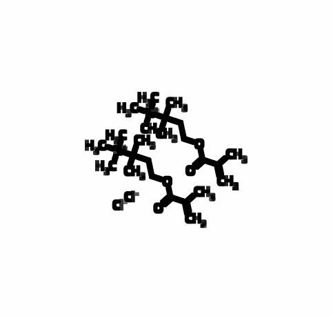 C=C(C)C(=O)OCCC(C)(C)[N+](C)(C)C.C=C(C)C(=O)OCCC(C)(C)[N+](C)(C)C.[Cl-].[Cl-]